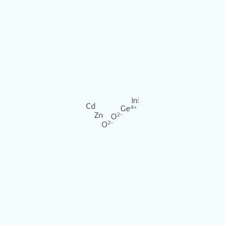 [Cd].[Ge+4].[In].[O-2].[O-2].[Zn]